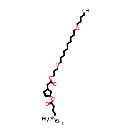 CCCCCOCCCCCCCCCCOCCCOC(=O)CC1CCC(OC(=O)CCCN(C)C)C1